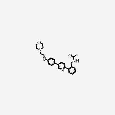 CC(=O)NCc1ccccc1-c1ccc(-c2ccc(OCCN3CCOCC3)cc2)cn1